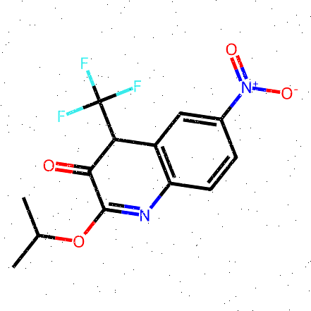 CC(C)OC1=Nc2ccc([N+](=O)[O-])cc2C(C(F)(F)F)C1=O